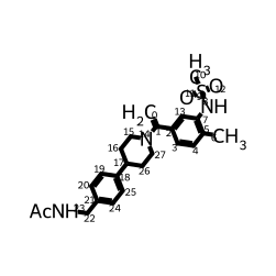 C=C(c1ccc(C)c(NS(C)(=O)=O)c1)N1CCC(c2ccc(CNC(C)=O)cc2)CC1